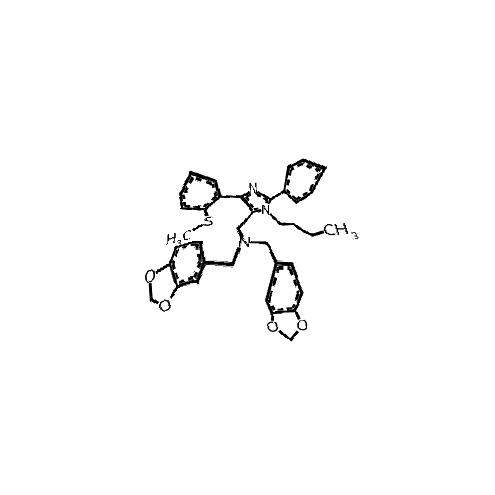 CCCCn1c(-c2ccccc2)nc(-c2ccccc2SC)c1CN(Cc1ccc2c(c1)OCO2)Cc1ccc2c(c1)OCO2